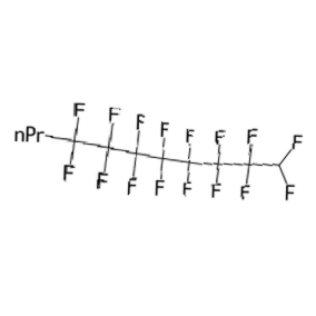 CCCC(F)(F)C(F)(F)C(F)(F)C(F)(F)C(F)(F)C(F)(F)C(F)(F)C(F)F